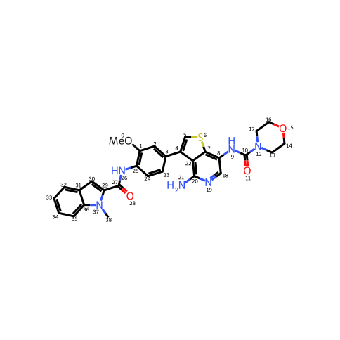 COc1cc(-c2csc3c(NC(=O)N4CCOCC4)cnc(N)c23)ccc1NC(=O)c1cc2ccccc2n1C